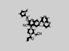 C=CC(=O)N1CCN(c2c(C#N)c(OC[C@@H]3CCCN3C)nc3c2CCN(C2=CN=CC4=NCCCN24)C3)C[C@@H]1CC#N